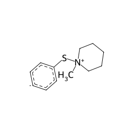 C[N+]1(Sc2cc[c]cc2)CCCCC1